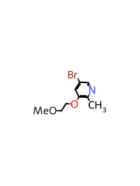 COCCOc1cc(Br)cnc1C